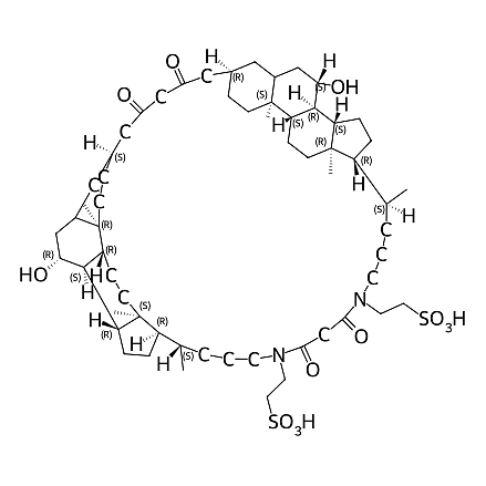 C[C@H]1CCCN(CCS(=O)(=O)O)C(=O)CC(=O)N(CCS(=O)(=O)O)CCC[C@H](C)[C@H]2CC[C@H]3[C@@H]4[C@@H](O)CC5C[C@@H](CC[C@]5(C)[C@H]4CC[C@]23C)CC(=O)CC(=O)C[C@H]2CC[C@]3(C)C(C2)C[C@@H](O)[C@@H]2[C@H]4CC[C@H]1[C@]4(C)CC[C@H]23